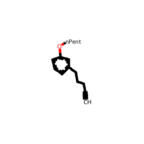 C#CCCCc1cccc(OCCCCC)c1